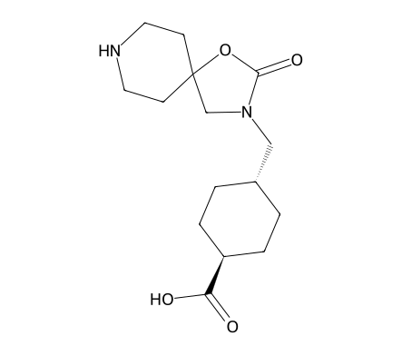 O=C1OC2(CCNCC2)CN1C[C@H]1CC[C@H](C(=O)O)CC1